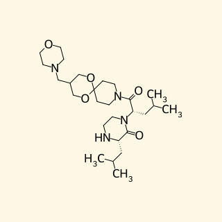 CC(C)C[C@@H]1NCCN([C@@H](CC(C)C)C(=O)N2CCC3(CC2)OCC(CN2CCOCC2)CO3)C1=O